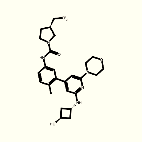 Cc1ccc(NC(=O)N2CC[C@@H](CC(F)(F)F)C2)cc1-c1cc(N[C@H]2C[C@H](O)C2)nc(N2CCOCC2)c1